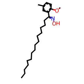 CCCCCCCCCCCCCCCC(=NO)c1cc(C)ccc1OC